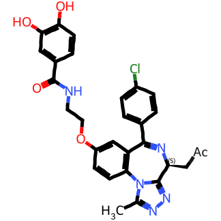 CC(=O)C[C@@H]1N=C(c2ccc(Cl)cc2)c2cc(OCCNC(=O)c3ccc(O)c(O)c3)ccc2-n2c(C)nnc21